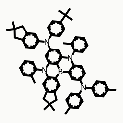 Cc1ccc(N(c2ccc(C)cc2)c2ccc3c(c2)B2c4cc5c(cc4N(c4ccccc4C)c4cc(N(c6ccc(C(C)(C)C)cc6)c6ccc7c(c6)CC(C)(C)C7)cc(c42)N3c2ccccc2C)CC(C)(C)C5)cc1